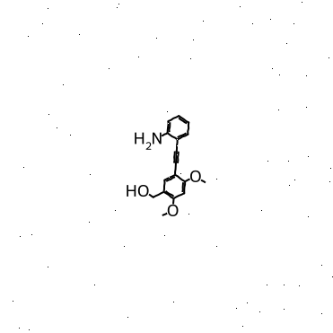 COc1cc(OC)c(CO)cc1C#Cc1ccccc1N